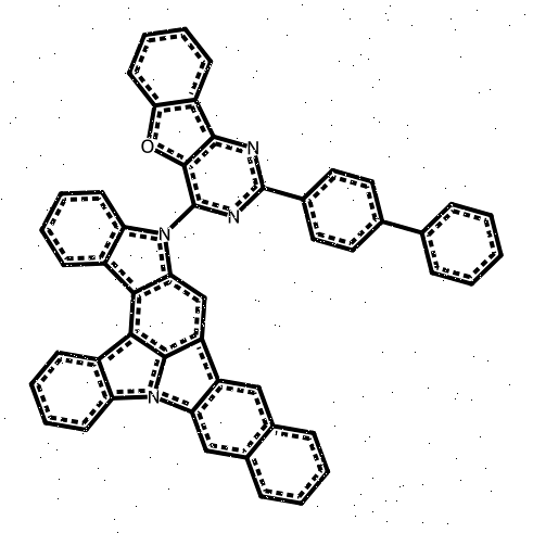 c1ccc(-c2ccc(-c3nc(-n4c5ccccc5c5c6c7ccccc7n7c8cc9ccccc9cc8c(cc54)c67)c4oc5ccccc5c4n3)cc2)cc1